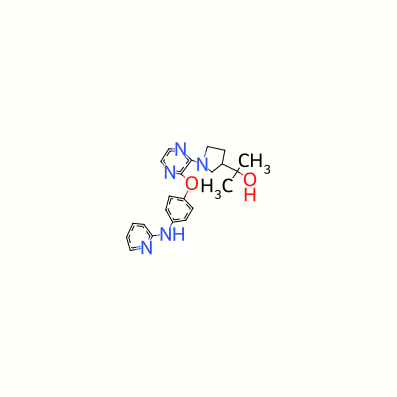 CC(C)(O)C1CCN(c2nccnc2Oc2ccc(Nc3ccccn3)cc2)C1